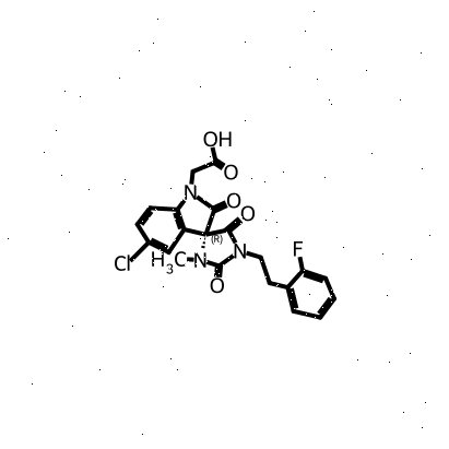 CN1C(=O)N(CCc2ccccc2F)C(=O)[C@@]12C(=O)N(CC(=O)O)c1ccc(Cl)cc12